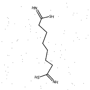 N=C(S)CCCCCCC(=N)S